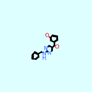 COc1cccc(C(=O)c2cnc(NCc3ccccc3)nc2)c1